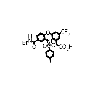 CCNC(=O)c1ccc(Oc2cc(CC(=O)O)cc(C(F)(F)F)c2)c(NS(=O)(=O)c2ccc(C)cc2)c1